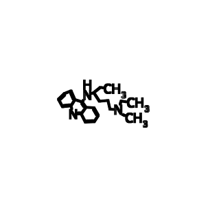 CCC(CCCN(CC)CC)Nc1c2ccccc2nc2ccccc12